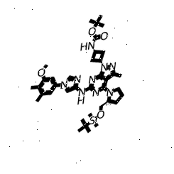 COc1cc(-n2cnc(Nc3nc(N4CCC[C@H]4CO[Si](C)(C)C(C)(C)C)c4c(C)nn([C@H]5C[C@@H](NC(=O)OC(C)(C)C)C5)c4n3)c2)cc(C)c1C